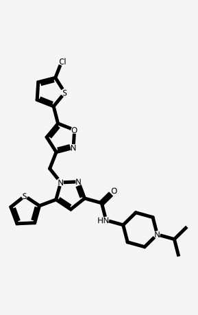 CC(C)N1CCC(NC(=O)c2cc(-c3cccs3)n(Cc3cc(-c4ccc(Cl)s4)on3)n2)CC1